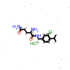 CC(C)c1ccc(CNC(=O)C(N)CCC(N)=O)cc1Cl.Cl